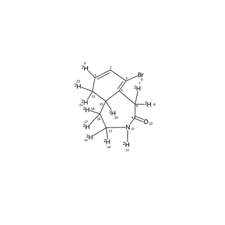 [2H]C1=CC(Br)=C2C([2H])([2H])C(=O)N([2H])C([2H])([2H])C([2H])([2H])C2([2H])C1([2H])[2H]